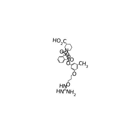 Cc1cc(OCCCONC(=N)N)cc(OS(=O)(=O)c2ccccc2S(=O)(=O)N2CCCC(C(=O)O)C2)c1